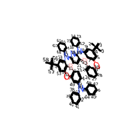 CC(C)(C)c1cc2c3c(c1)N(c1ccccc1)c1nc4c(cc1B3c1ccccc1O2)B1c2ccc(N(c3ccccc3)c3ccccc3)cc2Oc2cc(C(C)(C)C)cc(c21)N4c1ccccc1